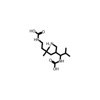 CC(C)C(NC(=O)O)C(CN)CC(C)(C)CCNC(=O)O